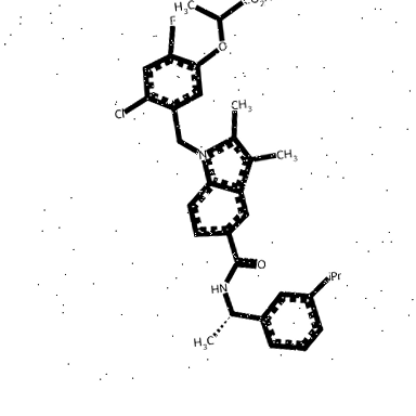 Cc1c(C)n(Cc2cc(OC(C)C(=O)O)c(F)cc2Cl)c2ccc(C(=O)N[C@@H](C)c3cccc(C(C)C)c3)cc12